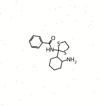 NC1CCCCC1C1(NC(=O)c2ccccc2)SCCS1